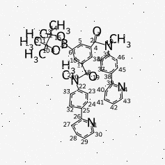 CN(C(=O)c1cc(B2OC(C)(C)C(C)(C)O2)cc(C(=O)N(C)c2ccc(-c3ccccn3)cc2)c1)c1ccc(-c2ccccn2)cc1